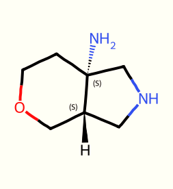 N[C@@]12CCOC[C@H]1CNC2